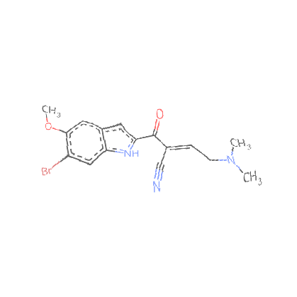 COc1cc2cc(C(=O)/C(C#N)=C/CN(C)C)[nH]c2cc1Br